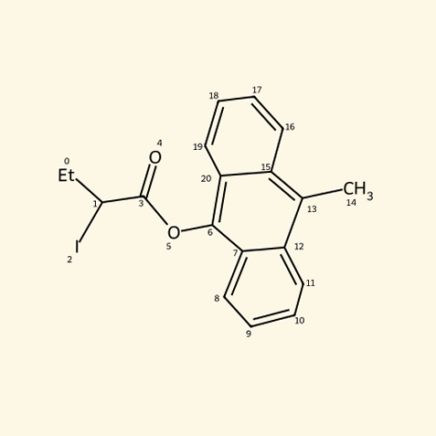 CCC(I)C(=O)Oc1c2ccccc2c(C)c2ccccc12